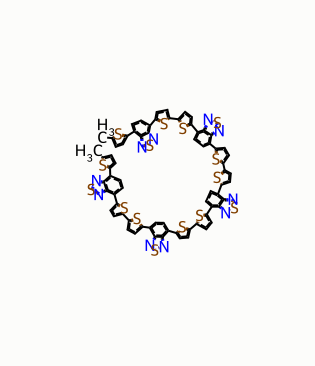 Cc1ccc(-c2ccc(-c3ccc(-c4ccc(-c5ccc(-c6ccc(-c7ccc(-c8ccc(-c9ccc(-c%10ccc(-c%11ccc(-c%12ccc(-c%13ccc(-c%14ccc(-c%15ccc(C)s%15)c%15nsnc%14%15)s%13)s%12)c%12nsnc%11%12)s%10)s9)c9nsnc89)s7)s6)c6nsnc56)s4)s3)c3nsnc23)s1